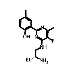 CC[C@@H](N)CNc1nc(-c2cc(C)ccc2O)nc(C)c1F